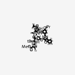 C=C[C@@H]1C[C@]1(NC(=O)[C@@H]1C[C@@H](Oc2nc(-c3ccc(OC(C)C)cc3)nc3c2oc2ccccc23)CN1C(=O)[C@@H](Nc1nc(C)c(C(=O)OC)s1)C(C)(C)C)C(=O)NS(=O)(=O)C1CC1